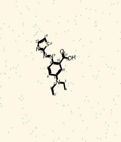 CCN(CC)c1ccc(N=Nc2nccs2)c(C(=O)O)c1